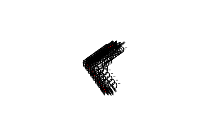 O=C(O)OO.O=C(O)OO.O=C(O)OO.O=C(O)OO.O=C(O)OO.O=C(O)OO.O=C([O-])OO.O=C([O-])OO.O=C([O-])OO.O=C([O-])OO.O=C([O-])OO.O=C([O-])OO.O=C([O-])OO.O=C([O-])OO.O=C([O-])OO.O=C([O-])OO.O=C([O-])OO.O=C([O-])OO.O=C([O-])OO.O=C([O-])OO.[Na+].[Na+].[Na+].[Na+].[Na+].[Na+].[Na+].[Na+].[Na+].[Na+].[Na+].[Na+].[Na+].[Na+]